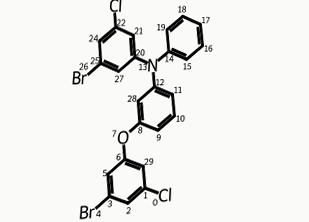 Clc1cc(Br)cc(Oc2cccc(N(c3ccccc3)c3cc(Cl)cc(Br)c3)c2)c1